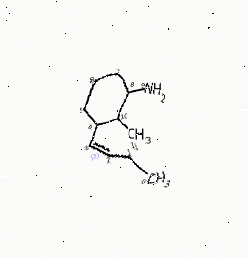 CC/C=C\C1CCCC(N)C1C